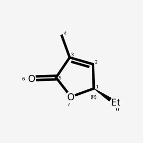 CC[C@@H]1C=C(C)C(=O)O1